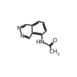 CC(=O)Nc1cccc2cnncc12